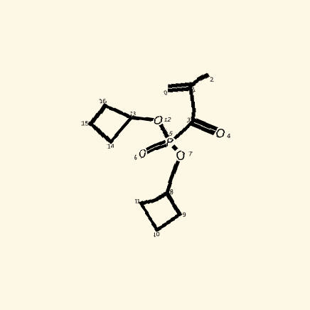 C=C(C)C(=O)P(=O)(OC1CCC1)OC1CCC1